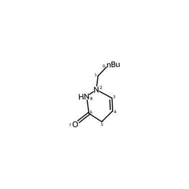 CCCCCN1C=CCC(=O)N1